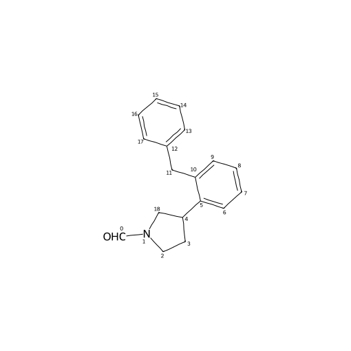 O=CN1CCC(c2ccccc2Cc2ccccc2)C1